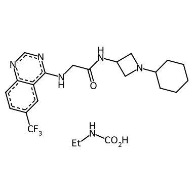 CCNC(=O)O.O=C(CNc1ncnc2ccc(C(F)(F)F)cc12)NC1CN(C2CCCCC2)C1